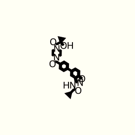 O=C(Nc1noc2ccc(-c3ccc(C(=O)N4CCN(C(=O)C5(O)CC5)CC4)cc3)cc12)C1CC1